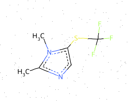 Cc1ncc(SC(F)(F)F)n1C